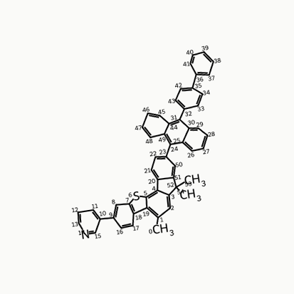 Cc1cc2c(c3sc4cc(-c5cccnc5)ccc4c13)-c1ccc(-c3c4ccccc4c(-c4ccc(-c5ccccc5)cc4)c4ccccc34)cc1C2(C)C